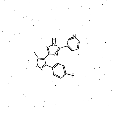 Cc1onc(-c2ccc(F)cc2)c1-c1c[nH]c(-c2cccnc2)n1